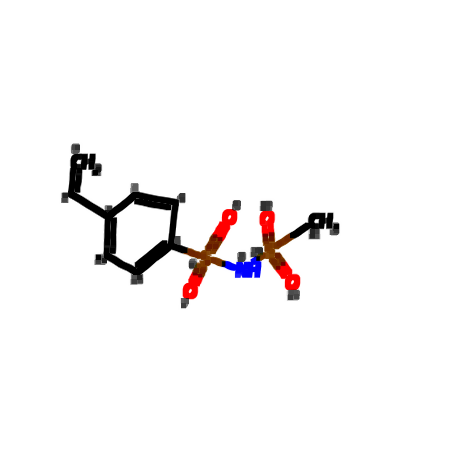 C=Cc1ccc(S(=O)(=O)NS(C)(=O)=O)cc1